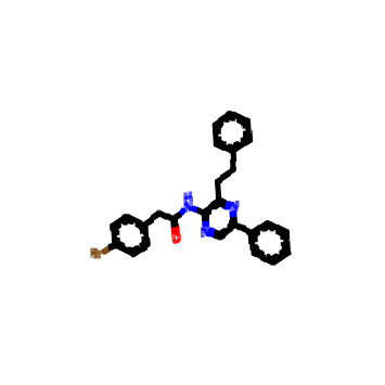 O=C(Cc1ccc(Br)cc1)Nc1ncc(-c2ccccc2)nc1CCc1ccccc1